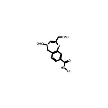 COCC1=CN(C=O)Cc2ccc(C(=O)NO)cc2O1